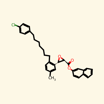 Cc1ccc(CCCCCCCc2ccc(Cl)cc2)c([C@@H]2O[C@H]2C(=O)Oc2ccc3ccccc3c2)c1